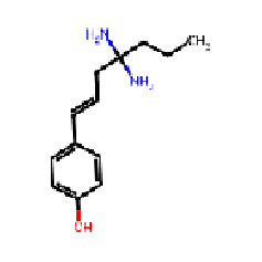 CCCC(N)(N)CC=Cc1ccc(O)cc1